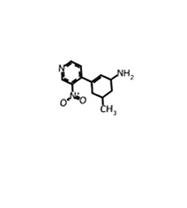 CC1CC(c2ccncc2[N+](=O)[O-])=CC(N)C1